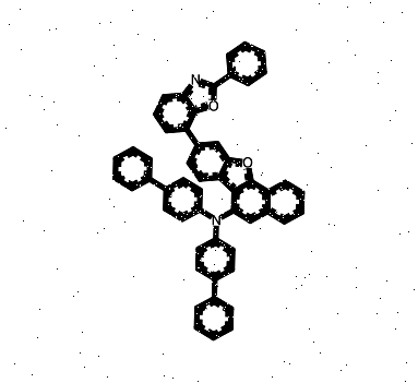 c1ccc(-c2ccc(N(c3ccc(-c4ccccc4)cc3)c3cc4ccccc4c4oc5cc(-c6cccc7nc(-c8ccccc8)oc67)ccc5c34)cc2)cc1